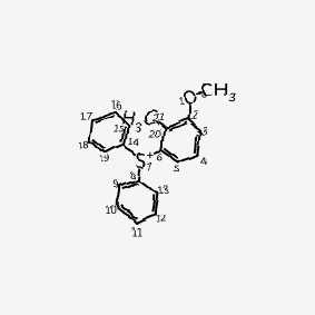 COc1cccc([S+](c2ccccc2)c2ccccc2)c1C